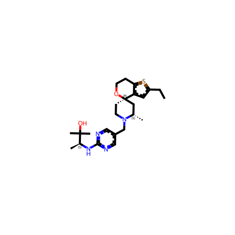 CCc1cc2c(s1)CCO[C@@]21CCN(Cc2cnc(N[C@@H](C)C(C)(C)O)nc2)[C@@H](C)C1